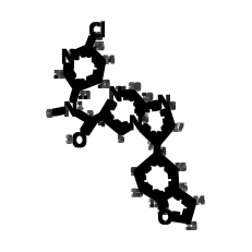 CN(C(=O)c1cn2c(-c3ccc4occc4c3)cnc2cn1)c1ccc(Cl)nc1